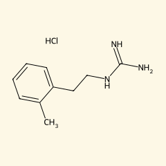 Cc1ccccc1CCNC(=N)N.Cl